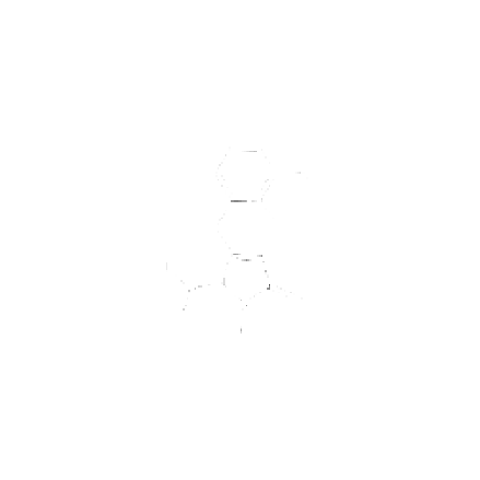 Cn1c(=O)cc(Cc2cccc(Cl)c2Cl)n1C(F)F